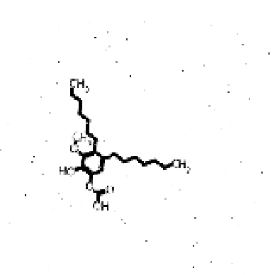 CCCCCCCc1cc(OC(=O)O)c(O)c(OC)c1CCCCCCC